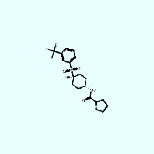 O=C(N[C@H]1CC[C@@](F)(S(=O)(=O)c2cccc(C(F)(F)F)c2)CC1)C1CCCC1